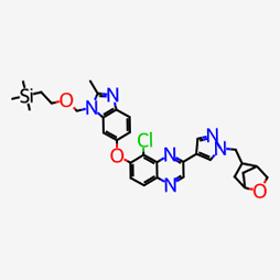 Cc1nc2ccc(Oc3ccc4ncc(-c5cnn(CC6CC7CC6CO7)c5)nc4c3Cl)cc2n1COCC[Si](C)(C)C